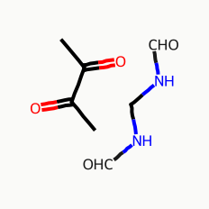 CC(=O)C(C)=O.O=CNCNC=O